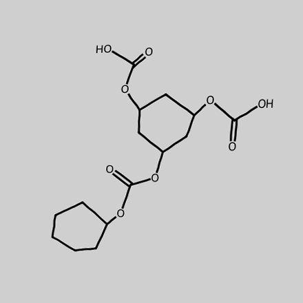 O=C(O)OC1CC(OC(=O)O)CC(OC(=O)OC2CCCCC2)C1